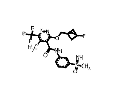 Cc1c(C(F)(F)F)nnc(OCC23CC(F)(C2)C3)c1C(=O)Nc1cccc(S(C)(=N)=O)c1